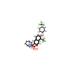 O=C(O)C1CC2CCC(C1)N2C(=O)c1ccc2c(C(F)(F)F)c(O[C@H]3CC[C@@H](C(F)(F)F)CC3)ccc2c1